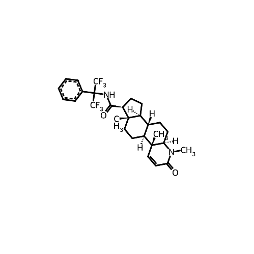 CN1C(=O)C=C[C@]2(C)[C@H]3CC[C@]4(C)[C@@H](C(=O)NC(c5ccccc5)(C(F)(F)F)C(F)(F)F)CC[C@H]4[C@@H]3CC[C@@H]12